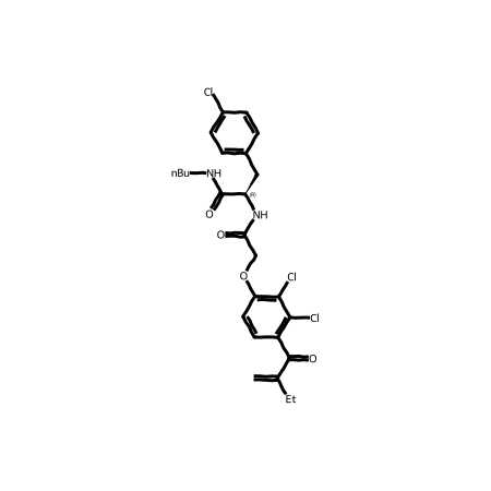 C=C(CC)C(=O)c1ccc(OCC(=O)N[C@H](Cc2ccc(Cl)cc2)C(=O)NCCCC)c(Cl)c1Cl